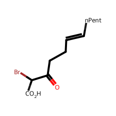 CCCCCC=CCCC(=O)C(Br)C(=O)O